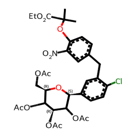 CCOC(=O)C(C)(C)Oc1ccc(Cc2cc([C@@H]3O[C@H](COC(C)=O)C(OC(C)=O)[C@H](OC(C)=O)C3OC(C)=O)ccc2Cl)cc1[N+](=O)[O-]